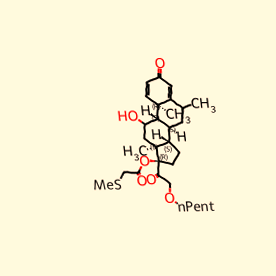 CCCCCOCC(=O)[C@@]1(OC(=O)CSC)CC[C@H]2[C@@H]3CC(C)C4=CC(=O)C=C[C@]4(C)[C@H]3C(O)C[C@@]21C